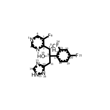 C[C@@H](c1ncncc1F)[C@](O)(Cc1nc[nH]n1)c1ccc(F)cc1F